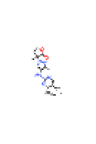 CNc1nc(Nc2cn([C@]3(C)CCOC3=O)nc2C)ncc1C(F)(F)F